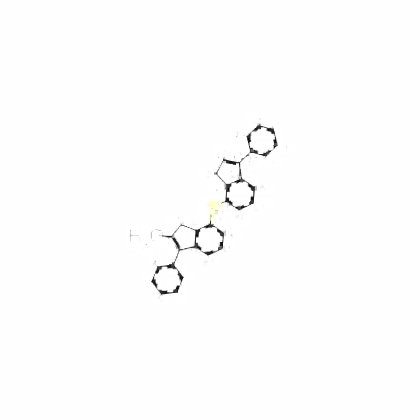 CC1=C(c2ccccc2)c2cccc(Sc3cccc4c3CC=C4c3ccccc3)c2C1